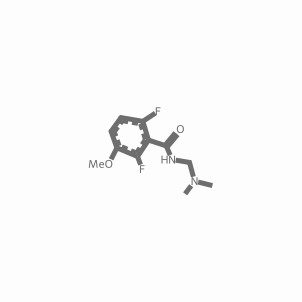 COc1ccc(F)c(C(=O)NCN(C)C)c1F